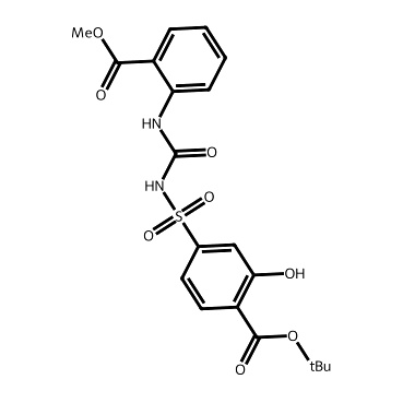 COC(=O)c1ccccc1NC(=O)NS(=O)(=O)c1ccc(C(=O)OC(C)(C)C)c(O)c1